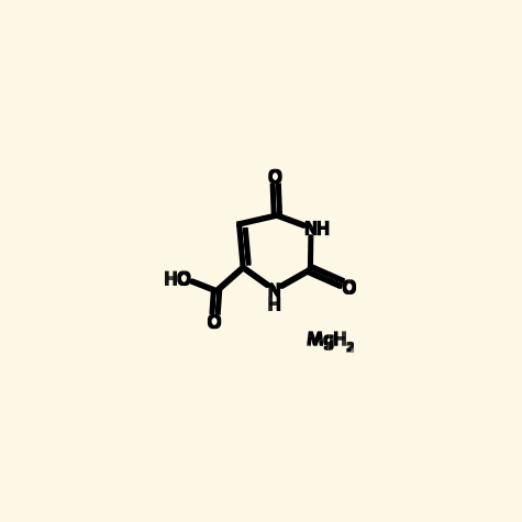 O=C(O)c1cc(=O)[nH]c(=O)[nH]1.[MgH2]